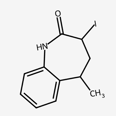 CC1CC(I)C(=O)Nc2ccccc21